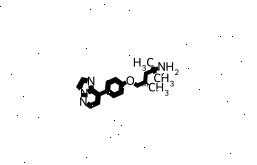 C[C@H](COc1ccc(-c2ccnn3ccnc23)cc1)CC(C)(C)N